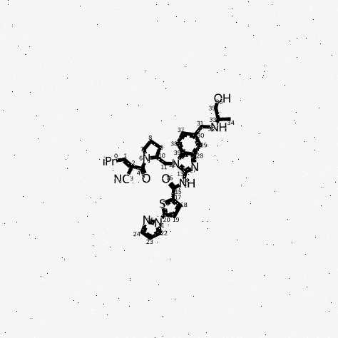 CC(C)C=C(C#N)C(=O)N1CCCC1Cn1c(NC(=O)c2ccc(-n3cccn3)s2)nc2cc(CNC(C)CO)ccc21